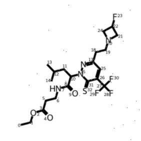 CCOC(=O)CCNC(=O)C(CC(C)C)n1nc(CCN2CC(F)C2)cc(C(F)(F)F)c1=S